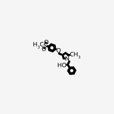 CC1CC(COc2ccc(S(C)(=O)=O)cc2)CN1CC(O)c1ccccc1